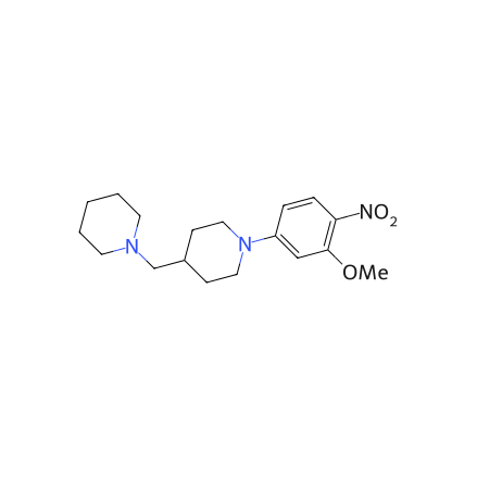 COc1cc(N2CCC(CN3CCCCC3)CC2)ccc1[N+](=O)[O-]